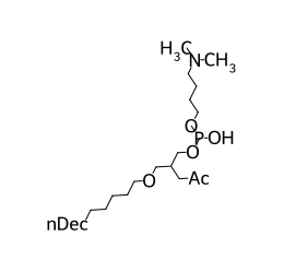 CCCCCCCCCCCCCCCOCC(COP(O)OCCCCN(C)C)CC(C)=O